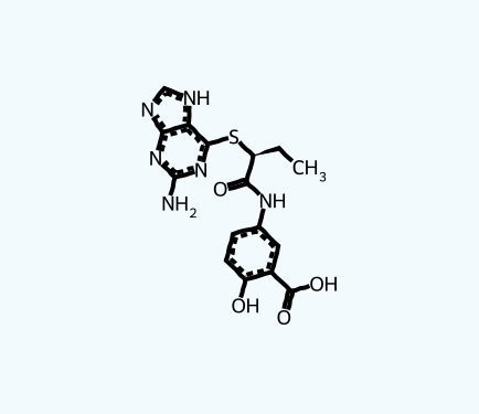 CC[C@H](Sc1nc(N)nc2nc[nH]c12)C(=O)Nc1ccc(O)c(C(=O)O)c1